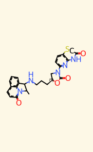 CC1C(NCCC[C@H]2CN(c3ccc4c(n3)NC(=O)CS4)C(=O)O2)c2cccc3ccc(=O)n1c23